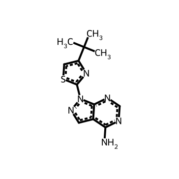 CC(C)(C)c1csc(-n2ncc3c(N)ncnc32)n1